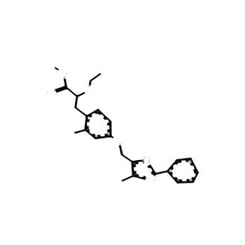 CCOC(Cc1ccc(OCc2nc(-c3ccccc3)oc2C)cc1C)C(=O)OC